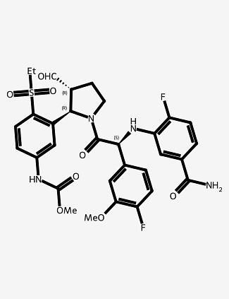 CCS(=O)(=O)c1ccc(NC(=O)OC)cc1[C@H]1[C@H](C=O)CCN1C(=O)[C@@H](Nc1cc(C(N)=O)ccc1F)c1ccc(F)c(OC)c1